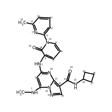 CNc1cc(Nc2cccn(-c3cccc(C)n3)c2=O)nc2c(C(=O)NC3CCC3)cnn12